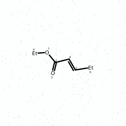 [CH2]COC(=O)C=CCC